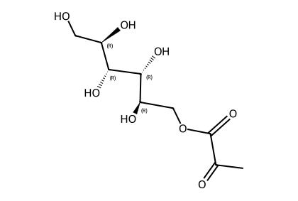 CC(=O)C(=O)OC[C@@H](O)[C@@H](O)[C@H](O)[C@H](O)CO